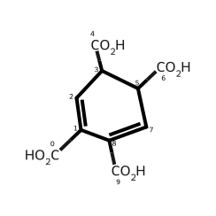 O=C(O)C1=CC(C(=O)O)C(C(=O)O)C=C1C(=O)O